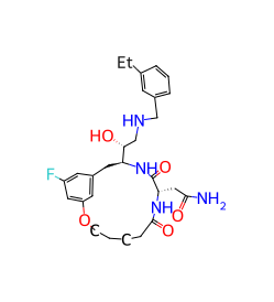 CCc1cccc(CNC[C@@H](O)[C@@H]2Cc3cc(F)cc(c3)OCCCCC(=O)N[C@@H](CC(N)=O)C(=O)N2)c1